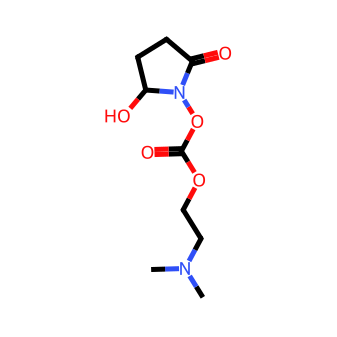 CN(C)CCOC(=O)ON1C(=O)CCC1O